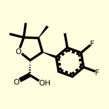 Cc1c([C@H]2[C@H](C(=O)O)OC(C)(C)[C@H]2C)ccc(F)c1F